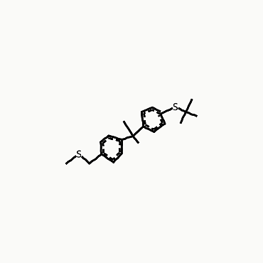 CSCc1ccc(C(C)(C)c2ccc(SC(C)(C)C)cc2)cc1